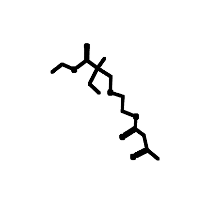 CCOC(=O)C(C)(CC)COCCOC(=O)CC(C)=O